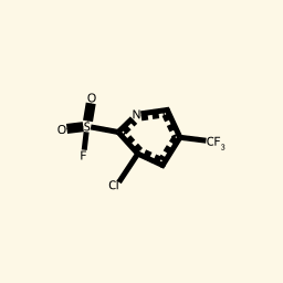 O=S(=O)(F)c1ncc(C(F)(F)F)cc1Cl